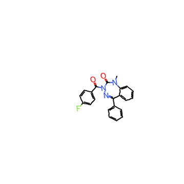 CN1C(=O)N(C(=O)c2ccc(F)cc2)N=C(c2ccccc2)c2ccccc21